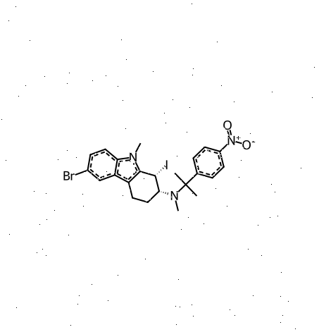 CN([C@@H]1CCc2c(n(C)c3ccc(Br)cc23)[C@@H]1I)C(C)(C)c1ccc([N+](=O)[O-])cc1